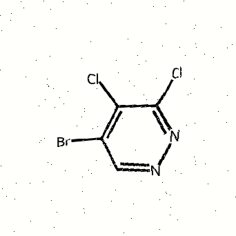 Clc1nncc(Br)c1Cl